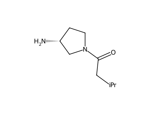 CC(C)CC(=O)N1CC[C@@H](N)C1